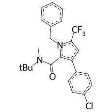 CN(C(=O)c1c(-c2ccc(Cl)cc2)cc(C(F)(F)F)n1Cc1ccccc1)C(C)(C)C